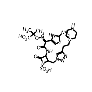 CC(C)(O/N=C(\C(=O)NC1C(=O)N(S(=O)(=O)O)C1Cn1cc(CCN2CCNCC2)nn1)C1=CSC(N)N1)C(=O)O